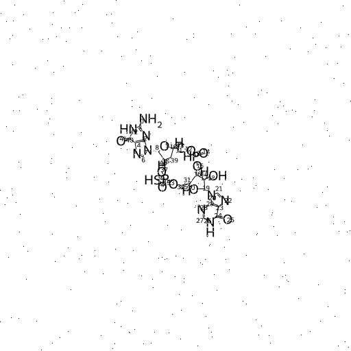 Nc1nc2c(ncn2[C@@H]2O[C@@H]3CO[PH](=O)O[C@H]4[C@@H](O)[C@H](n5cnc6c(=O)[nH]cnc65)O[C@@H]4COP(=O)(S)O[C@@H]2C3)c(=O)[nH]1